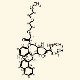 CNC(C)C(=O)NC1CN(C(=O)COCCOCCOC)c2ccccc2N(Cc2c(C)ccc3ccccc23)C1=O.Cl